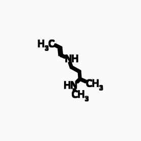 C/C=C/NCCC(C)NC